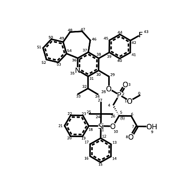 COP(=O)(C[C@H](CC(=O)O)O[Si](c1ccccc1)(c1ccccc1)C(C)(C)C)OCc1c(C(C)C)nc2c(c1-c1ccc(F)cc1)CCCc1ccccc1-2